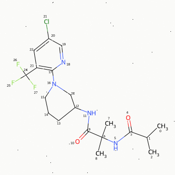 CC(C)C(=O)NC(C)(C)C(=O)NC1CCCN(c2ncc(Cl)cc2C(F)(F)F)C1